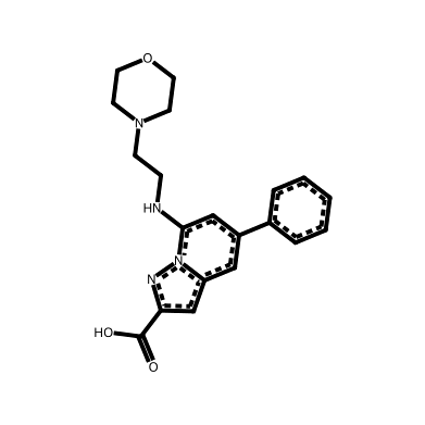 O=C(O)c1cc2cc(-c3ccccc3)cc(NCCN3CCOCC3)n2n1